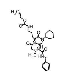 C=CCOC(=O)NCCC[C@H]1C(=O)N(C2CCCCC2)C[C@H]2N1C(=O)CN(C)N2C(=O)NCc1ccccc1